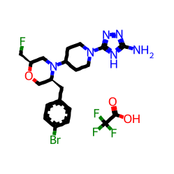 Nc1nnc(N2CCC(N3C[C@H](CF)OC[C@@H]3Cc3ccc(Br)cc3)CC2)[nH]1.O=C(O)C(F)(F)F